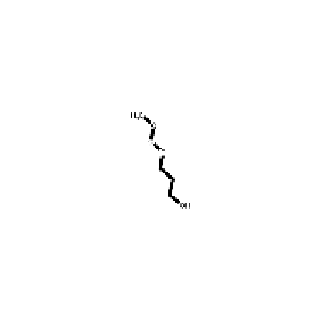 COOOCCCO